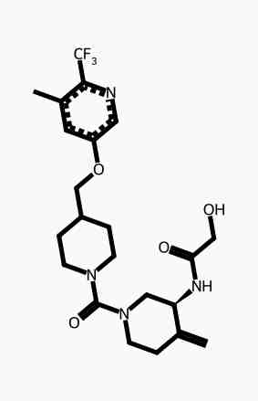 C=C1CCN(C(=O)N2CCC(COc3cnc(C(F)(F)F)c(C)c3)CC2)C[C@H]1NC(=O)CO